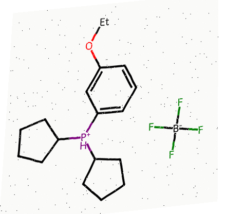 CCOc1cccc([PH+](C2CCCC2)C2CCCC2)c1.F[B-](F)(F)F